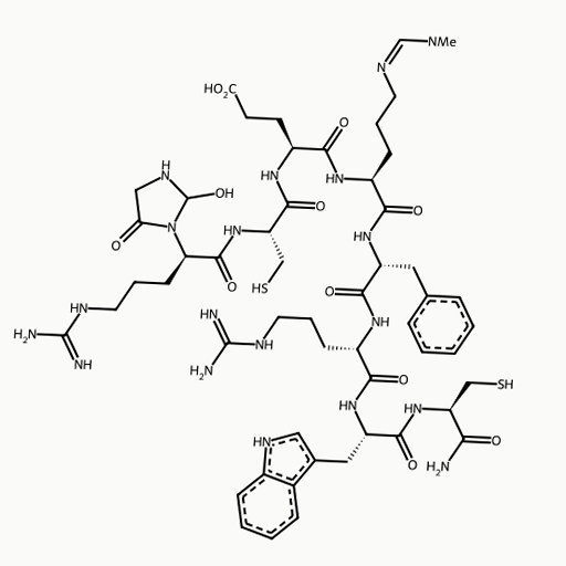 CN/C=N\CCC[C@H](NC(=O)[C@H](CCC(=O)O)NC(=O)[C@H](CS)NC(=O)[C@@H](CCCNC(=N)N)N1C(=O)CNC1O)C(=O)N[C@H](Cc1ccccc1)C(=O)N[C@@H](CCCNC(=N)N)C(=O)N[C@@H](Cc1c[nH]c2ccccc12)C(=O)N[C@@H](CS)C(N)=O